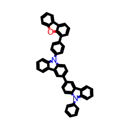 c1ccc(-n2c3ccccc3c3cc(-c4ccc5c(c4)c4ccccc4n5-c4ccc(-c5cccc6c5oc5ccccc56)cc4)ccc32)cc1